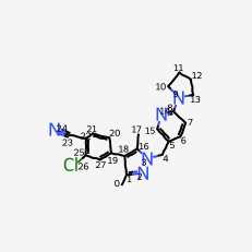 Cc1nn(Cc2ccc(N3CCCC3)nc2)c(C)c1-c1ccc(C#N)c(Cl)c1